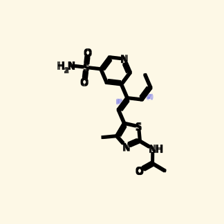 C/C=C\C(=C/c1sc(NC(C)=O)nc1C)c1cncc(S(N)(=O)=O)c1